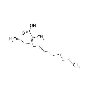 C=CCC(CCCCCCCCC)=C(C)C(=O)O